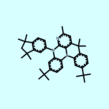 Cc1cc2c3c(n1)N(c1ccc4c(c1)C(C)(C)CC4(C)C)c1cc(C(C)(C)C)ccc1B3c1cc(C(C)(C)C)ccc1C2(C)C